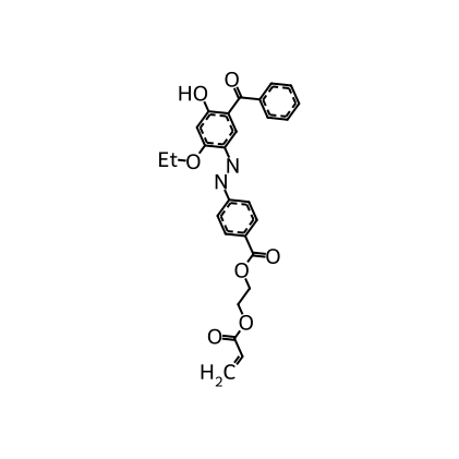 C=CC(=O)OCCOC(=O)c1ccc(/N=N/c2cc(C(=O)c3ccccc3)c(O)cc2OCC)cc1